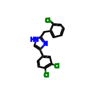 Clc1ccc(-c2c[nH]c(Cc3ccccc3Cl)n2)cc1Cl